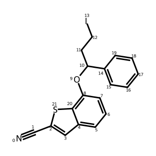 N#Cc1cc2cccc(OC(CCI)c3ccccc3)c2s1